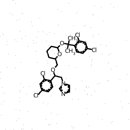 CC(C)(OC1CCCC(COC(Cn2ccnc2)c2ccc(Cl)cc2Cl)O1)c1ccc(Cl)cc1Cl